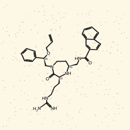 C=CCO[C@@H](CN1CC[C@@H](CNC(=O)c2ccc3ccccc3c2)N[C@@H](CCCNC(=N)N)C1=O)c1ccccc1